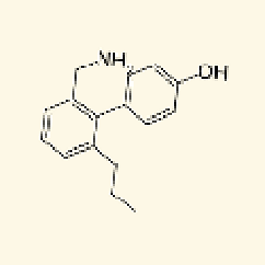 CCCc1cccc(CN)c1-c1ccc(O)cc1